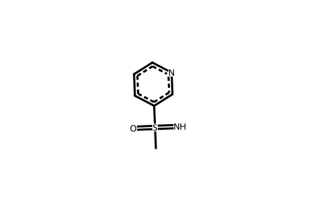 CS(=N)(=O)c1cccnc1